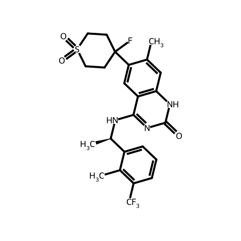 Cc1cc2[nH]c(=O)nc(N[C@H](C)c3cccc(C(F)(F)F)c3C)c2cc1C1(F)CCS(=O)(=O)CC1